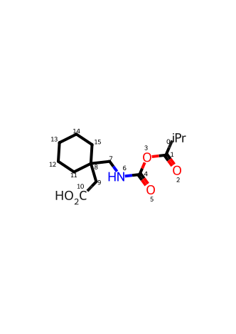 CC(C)C(=O)OC(=O)NCC1(CC(=O)O)CCCCC1